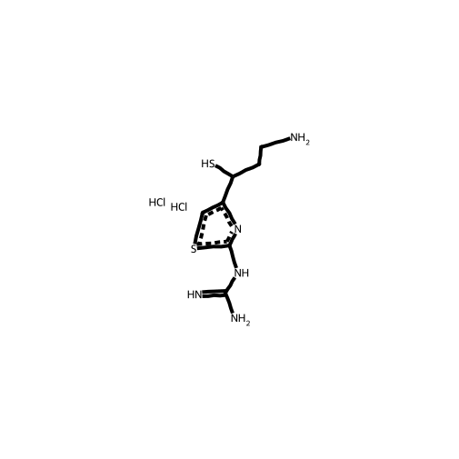 Cl.Cl.N=C(N)Nc1nc(C(S)CCN)cs1